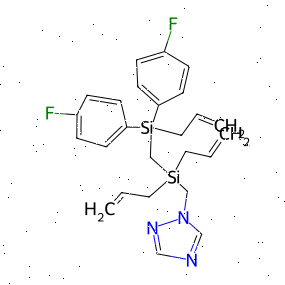 C=CC[Si](CC=C)(Cn1cncn1)C[Si](CC=C)(c1ccc(F)cc1)c1ccc(F)cc1